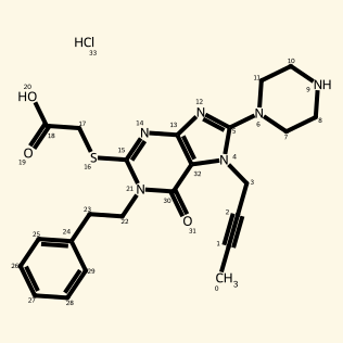 CC#CCn1c(N2CCNCC2)nc2nc(SCC(=O)O)n(CCc3ccccc3)c(=O)c21.Cl